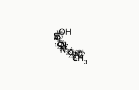 CC(c1ccc(-c2cn3cc(-c4csc(CO)c4)ccc3n2)cc1)N1CCCC1